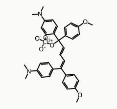 COc1ccc(C(=CC=CC(O[Cl+3]([O-])([O-])[O-])(c2ccc(OC)cc2)c2ccc(N(C)C)cc2)c2ccc(N(C)C)cc2)cc1